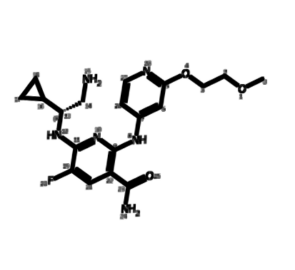 COCCOc1cc(Nc2nc(N[C@@H](CN)C3CC3)c(F)cc2C(N)=O)ccn1